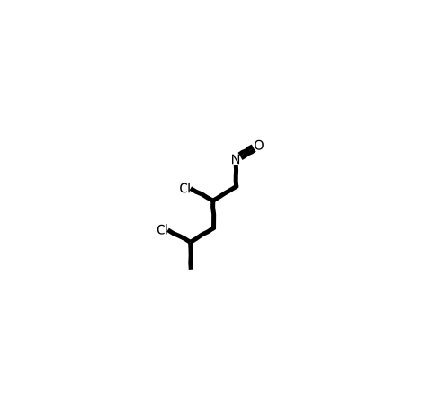 CC(Cl)CC(Cl)CN=O